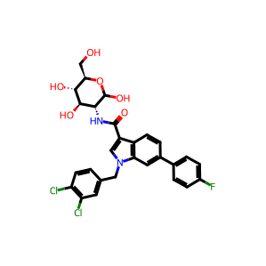 O=C(N[C@H]1C(O)O[C@H](CO)[C@@H](O)[C@@H]1O)c1cn(Cc2ccc(Cl)c(Cl)c2)c2cc(-c3ccc(F)cc3)ccc12